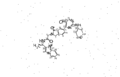 CC(NC(=O)CN1Cc2ccc(-c3nc(NC4CCOCC4)ncc3Cl)cc2C1=O)c1cn2ccccc2n1